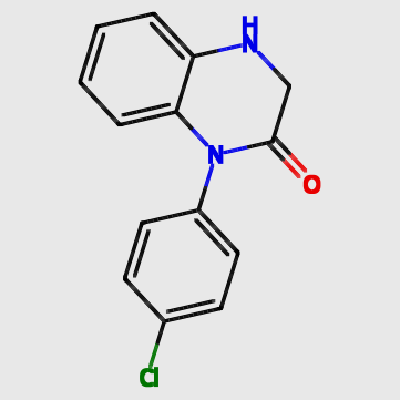 O=C1CNc2ccccc2N1c1ccc(Cl)cc1